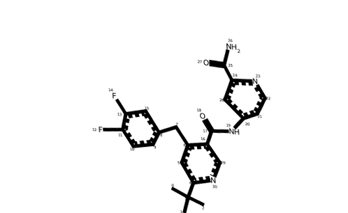 CC(C)(C)c1cc(Cc2ccc(F)c(F)c2)c(C(=O)Nc2ccnc(C(N)=O)c2)cn1